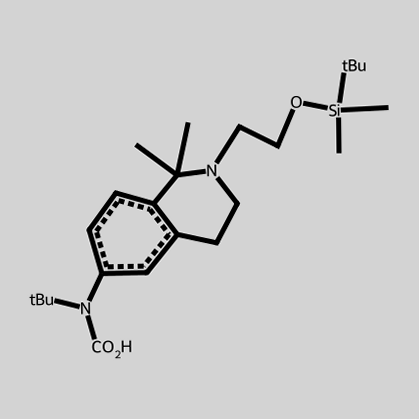 CC(C)(C)N(C(=O)O)c1ccc2c(c1)CCN(CCO[Si](C)(C)C(C)(C)C)C2(C)C